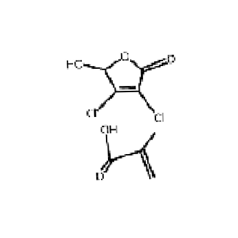 C=C(C)C(=O)O.O=C1OC(O)C(Cl)=C1Cl